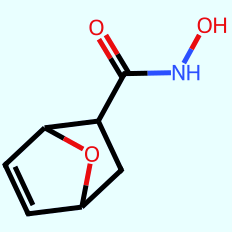 O=C(NO)C1CC2C=CC1O2